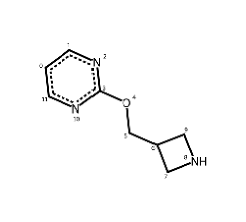 c1cnc(OCC2CNC2)nc1